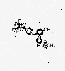 Cc1ccc(CN2CCN(C(=O)OC(C(F)(F)F)C(F)(F)F)CC2)c(N2CC[C@@H](NS(C)(=O)=O)C2)c1